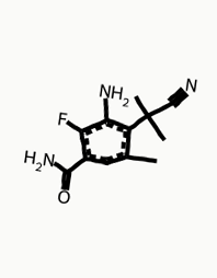 Cc1cc(C(N)=O)c(F)c(N)c1C(C)(C)C#N